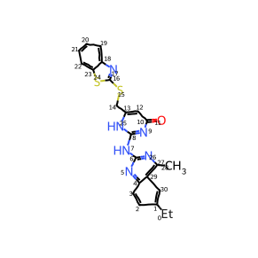 CCc1ccc2nc(Nc3nc(=O)cc(CSc4nc5ccccc5s4)[nH]3)nc(C)c2c1